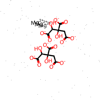 O=C([O-])CC(O)(C(=O)[O-])C(O)C(=O)[O-].O=C([O-])CC(O)(C(=O)[O-])C(O)C(=O)[O-].[Mg+2].[Mg+2].[Mg+2]